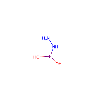 NNP(O)O